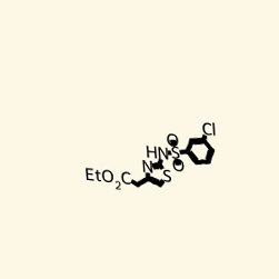 CCOC(=O)Cc1csc(NS(=O)(=O)c2cccc(Cl)c2)n1